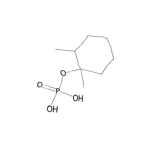 CC1CCCCC1(C)OP(=O)(O)O